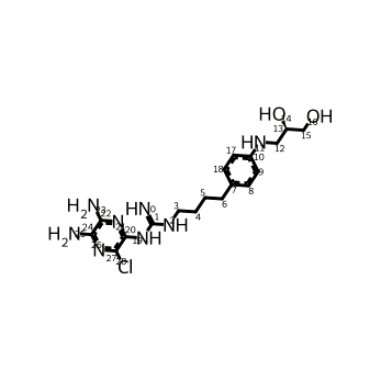 N=C(NCCCCc1ccc(NC[C@@H](O)CO)cc1)Nc1nc(N)c(N)nc1Cl